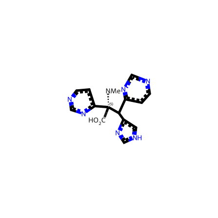 CN[C@](C(=O)O)(c1ccncn1)C(c1ccncn1)c1c[nH]cn1